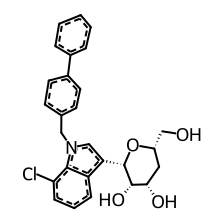 OC[C@@H]1C[C@H](O)[C@H](O)[C@H](c2cn(Cc3ccc(-c4ccccc4)cc3)c3c(Cl)cccc23)O1